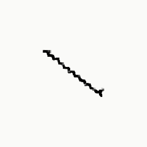 CNCCCCCOCCOCCOCCOCCOCC(C)=O